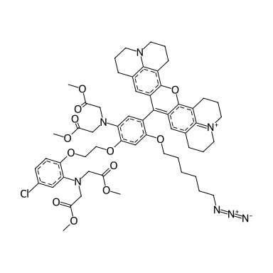 COC(=O)CN(CC(=O)OC)c1cc(Cl)ccc1OCCOc1cc(OCCCCCCN=[N+]=[N-])c(C2=c3cc4c5c(c3Oc3c2cc2c6c3CCCN6CCC2)CCC[N+]=5CCC4)cc1N(CC(=O)OC)CC(=O)OC